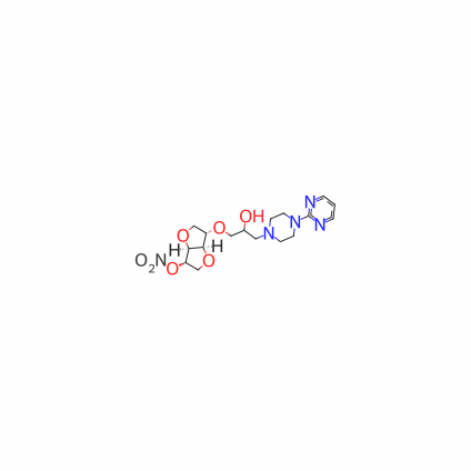 O=[N+]([O-])O[C@@H]1CO[C@H]2[C@@H]1OC[C@@H]2OCC(O)CN1CCN(c2ncccn2)CC1